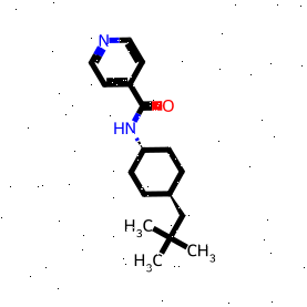 CC(C)(C)C[C@H]1CC[C@H](NC(=O)c2ccncc2)CC1